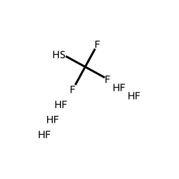 F.F.F.F.F.FC(F)(F)S